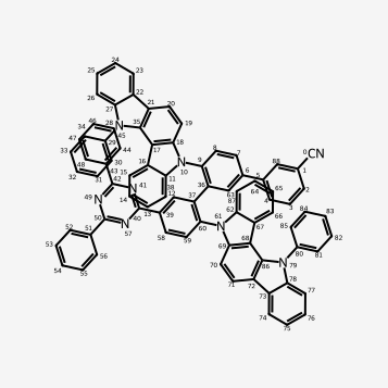 N#Cc1cccc(-c2ccc(-n3c4ccccc4c4c3ccc3c5ccccc5n(-c5ccccc5)c34)c(-c3cc(-c4nc(-c5ccccc5)nc(-c5ccccc5)n4)ccc3-n3c4ccccc4c4c3ccc3c5ccccc5n(-c5ccccc5)c34)c2)c1